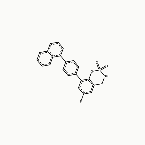 O=S1(=O)NCc2cc(F)cc(-c3ccc(-c4cccc5ccccc45)cc3)c2O1